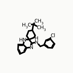 CC(C)(C)C1CCC2(CC1)Nc1ccccc1N=C2NCc1cccc(Cl)c1